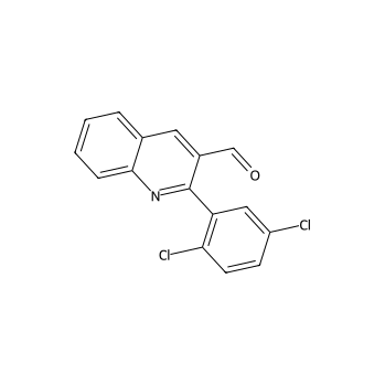 O=Cc1cc2ccccc2nc1-c1cc(Cl)ccc1Cl